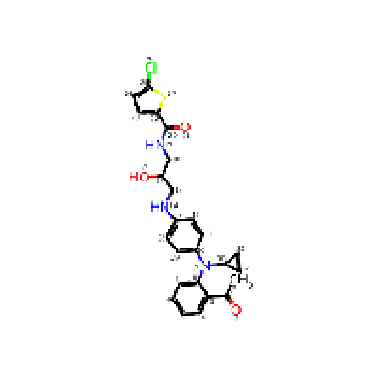 CC(=O)c1ccccc1N(c1ccc(NCC(O)CNC(=O)c2ccc(Cl)s2)cc1)C1CC1